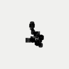 CCn1cc(-c2ccc(=O)n(Cc3cccc(-c4ncc(OCCN5CCOCC5)cn4)c3)n2)cn1